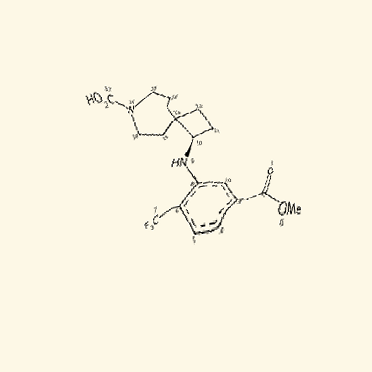 COC(=O)c1ccc(C(F)(F)F)c(N[C@@H]2CCC23CCN(C(=O)O)CC3)c1